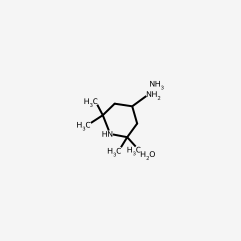 CC1(C)CC(N)CC(C)(C)N1.N.O